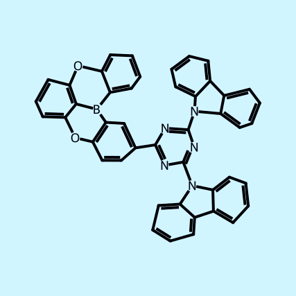 c1ccc2c(c1)Oc1cccc3c1B2c1cc(-c2nc(-n4c5ccccc5c5ccccc54)nc(-n4c5ccccc5c5ccccc54)n2)ccc1O3